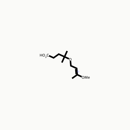 CO/C(C)=C/COC(C)(C)CCC(=O)O